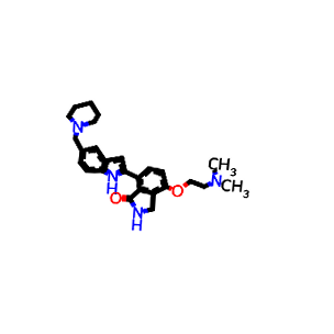 CN(C)CCOc1ccc(-c2cc3cc(CN4CCCCC4)ccc3[nH]2)c2c1CNC2=O